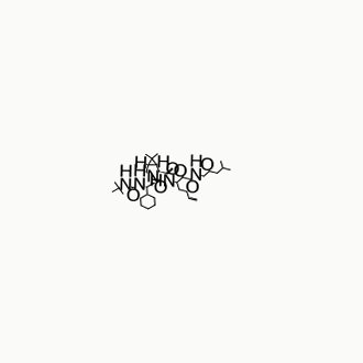 C=CCCC(NC(=O)[C@@H]1[C@@H]2[C@H](CN1C(=O)[C@@H](NC(=O)NC(C)(C)C)C1CCCCC1)C2(C)C)C(=O)C(=O)NCC(=O)CC(C)C